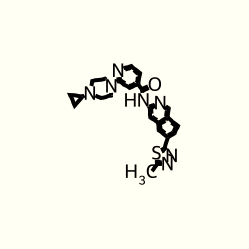 Cc1nnc(-c2ccc3cnc(NC(=O)c4ccnc(N5CCN(C6CC6)CC5)c4)cc3c2)s1